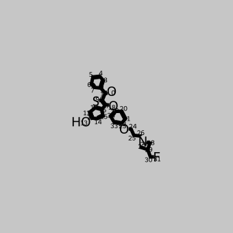 O=C(c1ccccc1)c1sc2cc(O)ccc2c1Oc1ccc(OCCCN2CC(CF)C2)cc1